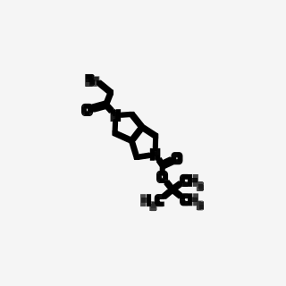 CC(C)(C)OC(=O)N1CC2CN(C(=O)CBr)CC2C1